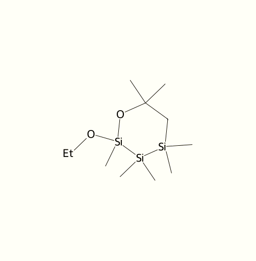 CCO[Si]1(C)OC(C)(C)C[Si](C)(C)[Si]1(C)C